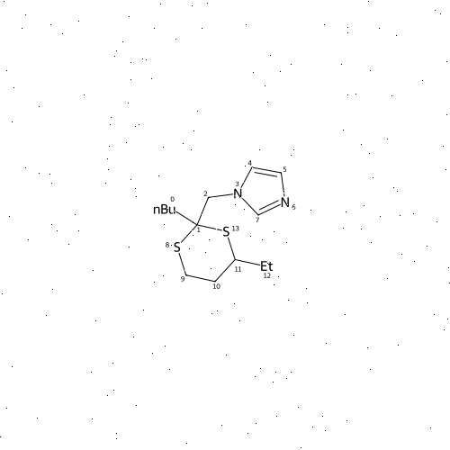 CCCCC1(Cn2ccnc2)SCCC(CC)S1